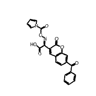 O=C(O)/C(=N\OC(=O)n1cccc1)c1cc2ccc(C(=O)c3ccccc3)cc2oc1=O